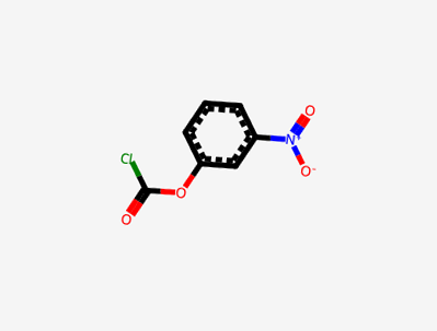 O=C(Cl)Oc1cccc([N+](=O)[O-])c1